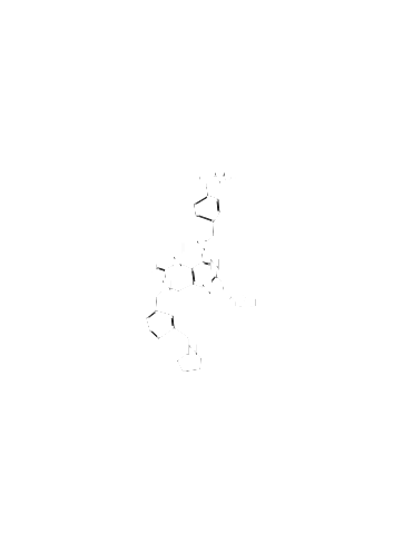 CCCCOc1nc2c(c(NCc3ccc(OC)cc3)n1)NC(=O)N(Cc1cccc(CN3CCCC3)c1)C2